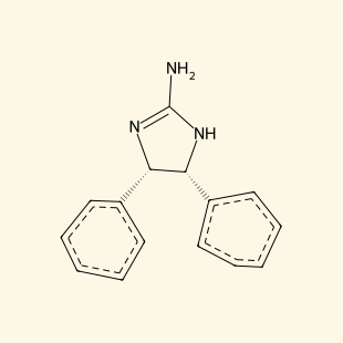 NC1=N[C@@H](c2ccccc2)[C@@H](c2ccccc2)N1